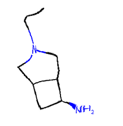 CCN1CC2C[C@H](N)C2C1